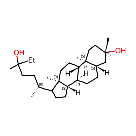 CCC(C)(O)CC[C@@H](C)C1CC[C@H]2[C@@H]3CC[C@H]4C[C@@](C)(O)CC[C@]4(C)[C@H]3CC[C@]12C